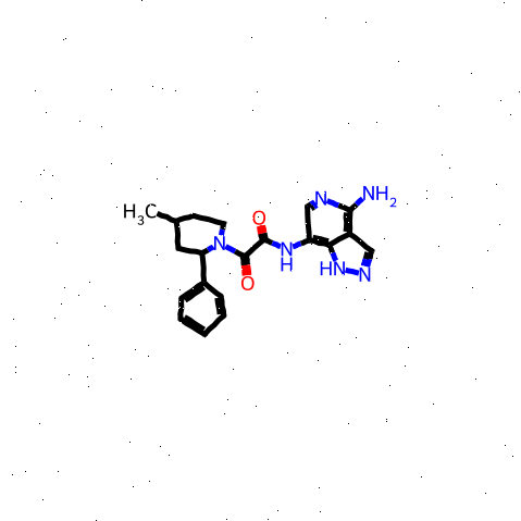 CC1CCN(C(=O)C(=O)Nc2cnc(N)c3cn[nH]c23)C(c2ccccc2)C1